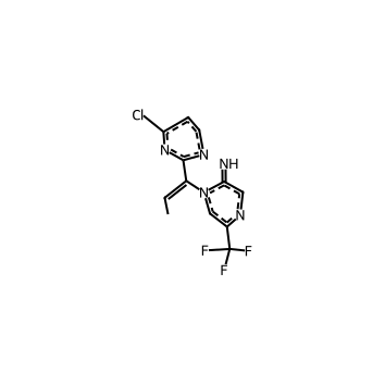 C/C=C(/c1nccc(Cl)n1)n1cc(C(F)(F)F)ncc1=N